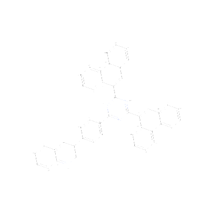 C1=CC2C=C(c3nc(-c4ccc(C5C=c6ccccc6=NC5)cc4)nc(-c4cc5ccccc5c5ccccc45)n3)c3ccccc3C2C=C1